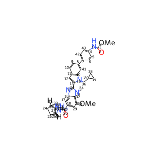 COC(=O)Nc1ccc(-c2ccc3cc(-c4nc5cc(C(=O)N6C[C@H]7CC[C@@H]6[C@@H]7N)cc(OC)c5n4C)n(CC4CC4)c3c2)cc1